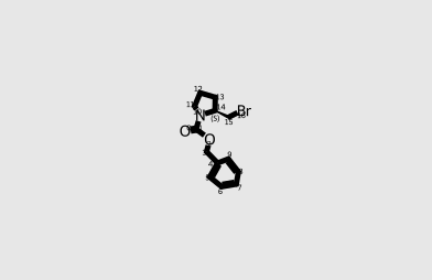 O=C(OCc1ccccc1)N1CCC[C@H]1CBr